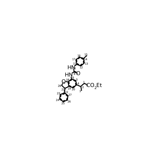 CCOC(=O)CC(C)c1cc(NC(=O)Nc2ccc(C)cc2)c2c(c1)C(c1ccccc1)CO2